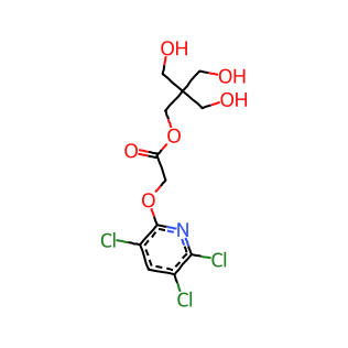 O=C(COc1nc(Cl)c(Cl)cc1Cl)OCC(CO)(CO)CO